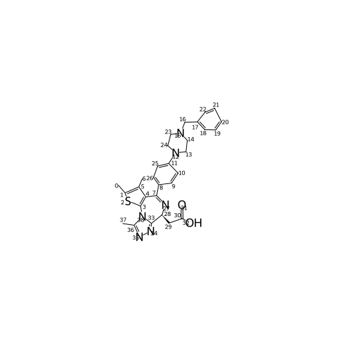 Cc1sc2c(c1C)C(c1ccc(N3CCN(Cc4ccccc4)CC3)cc1)=N[C@@H](CC(=O)O)c1nnc(C)n1-2